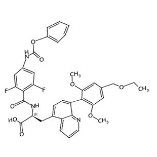 CCOCc1cc(OC)c(-c2ccc(C[C@H](NC(=O)c3c(F)cc(NC(=O)Oc4ccccc4)cc3F)C(=O)O)c3cccnc23)c(OC)c1